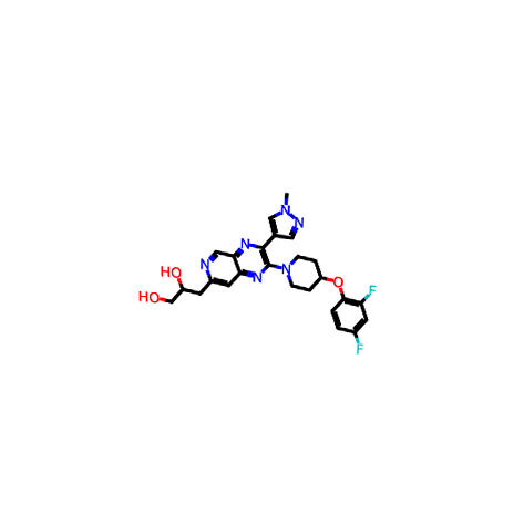 Cn1cc(-c2nc3cnc(CC(O)CO)cc3nc2N2CCC(Oc3ccc(F)cc3F)CC2)cn1